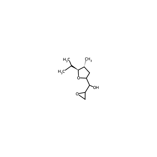 CC(C)[C@@H]1OC(C(O)C2CO2)C[C@H]1C